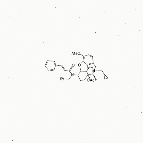 COc1ccc2c3c1OC1C(N(CC(C)C)C(=O)/C=C/c4ccccc4)CC[C@@]4(OC(C)=O)[C@@H](C2)N(CC2CC2)CC[C@]314